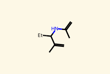 C=C(C)NC(CC)C(=C)C